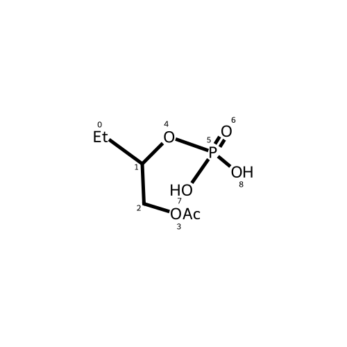 CCC(COC(C)=O)OP(=O)(O)O